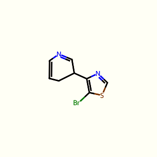 Brc1scnc1C1C=NC=CC1